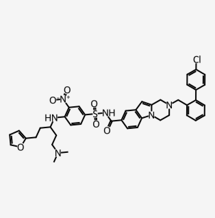 CN(C)CCC(CCc1ccco1)Nc1ccc(S(=O)(=O)NC(=O)c2ccc3c(c2)cc2n3CCN(Cc3ccccc3-c3ccc(Cl)cc3)C2)cc1[N+](=O)[O-]